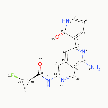 Nc1nc(-c2ccc[nH]c2=O)cc2cc(NC(=O)[C@H]3C[C@H]3F)ncc12